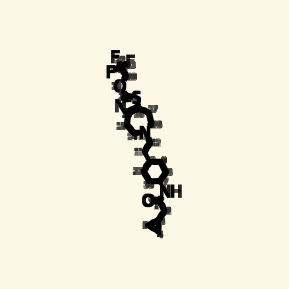 O=C(CC1CC1)N[C@H]1CC[C@H](CCN2CCc3nc(OCC(F)(F)F)sc3CC2)CC1